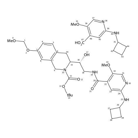 COCOc1ccc2c(c1)CN(C(=O)OC(C)(C)C)C([C@H](O)CNC(=O)c1cc(NC3CCC3)ncc1OC)C2.COc1cnc(NC2CCC2)cc1C(=O)O